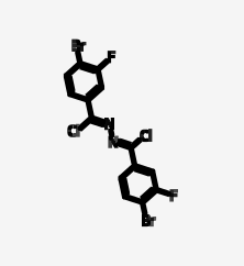 Fc1cc(/C(Cl)=N/N=C(\Cl)c2ccc(Br)c(F)c2)ccc1Br